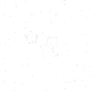 Cc1coc2cc3c(cc12)CNC3